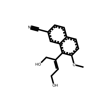 COc1ccc2ccc(C#N)cc2c1C(=CCO)CO